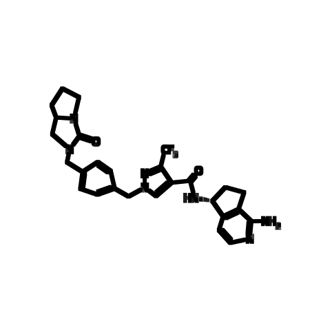 Nc1nccc2c1CC[C@H]2NC(=O)c1cn(Cc2ccc(CN3CC4CCCN4C3=O)cc2)nc1C(F)(F)F